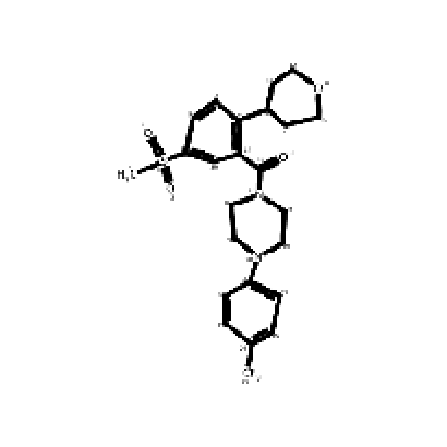 CS(=O)(=O)c1ccc(C2CCOCC2)c(C(=O)N2CCN(c3ccc(C(F)(F)F)cc3)CC2)c1